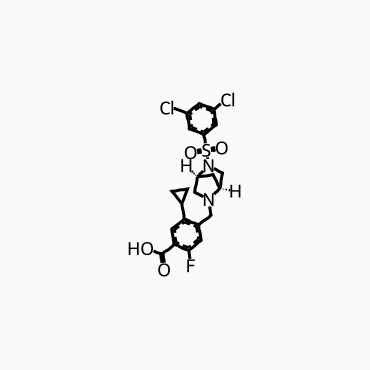 O=C(O)c1cc(C2CC2)c(CN2C[C@@H]3C[C@H]2CN3S(=O)(=O)c2cc(Cl)cc(Cl)c2)cc1F